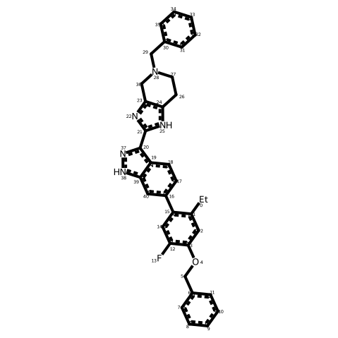 CCc1cc(OCc2ccccc2)c(F)cc1-c1ccc2c(-c3nc4c([nH]3)CCN(Cc3ccccc3)C4)n[nH]c2c1